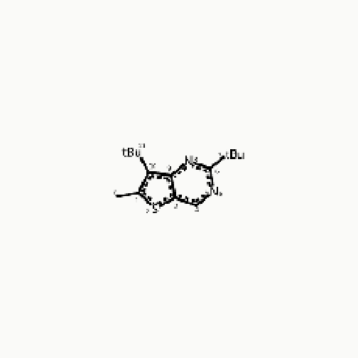 Cc1sc2cnc(C(C)(C)C)nc2c1C(C)(C)C